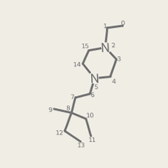 CCN1CCN(CCC(C)(CC)CC)CC1